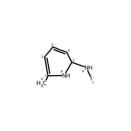 CC1=CC=CC(NI)N1